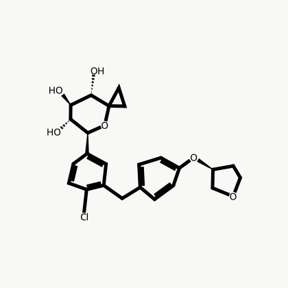 O[C@@H]1[C@@H](O)[C@H](O)C2(CC2)O[C@H]1c1ccc(Cl)c(Cc2ccc(O[C@H]3CCOC3)cc2)c1